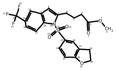 COC(=O)CCCc1cc2cc(C(F)(F)F)ccc2n1S(=O)(=O)c1ccc2c(c1)CCO2